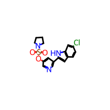 O=S(=O)(Oc1cncc(-c2cc3ccc(Cl)cc3[nH]2)c1)N1CCCC1